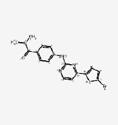 CN(C)C(=O)c1ccc(Nc2nccc(-c3ccc(Br)s3)n2)cc1